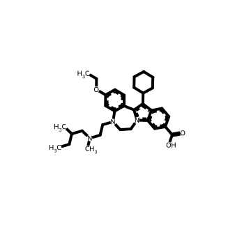 CCOc1ccc2c(c1)N(CCN(C)CC(C)CC)CCn1c-2c(C2CCCCC2)c2ccc(C(=O)O)cc21